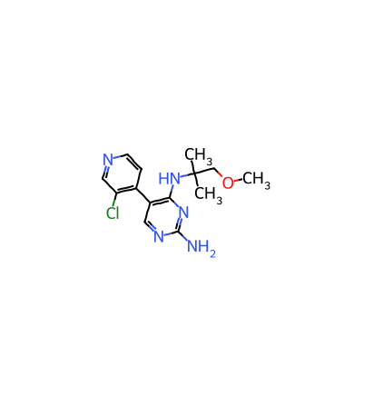 COCC(C)(C)Nc1nc(N)ncc1-c1ccncc1Cl